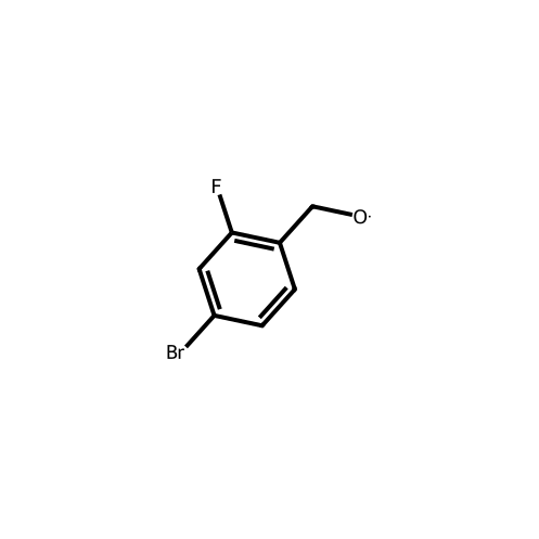 [O]Cc1ccc(Br)cc1F